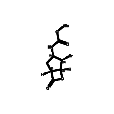 CC(C)(C)OC(=O)N[C@@H]1C[C@H]2C(=O)O[C@H]2[C@@H]1Br